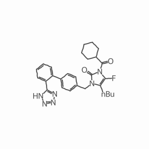 CCCCc1c(F)n(C(=O)C2CCCCC2)c(=O)n1Cc1ccc(-c2ccccc2-c2nnn[nH]2)cc1